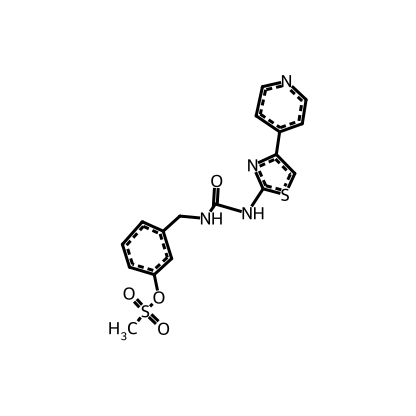 CS(=O)(=O)Oc1cccc(CNC(=O)Nc2nc(-c3ccncc3)cs2)c1